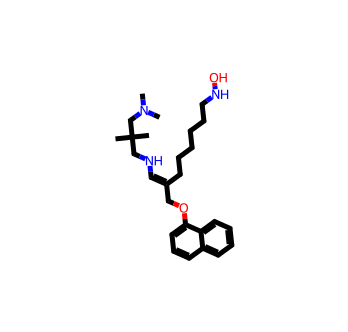 CN(C)CC(C)(C)CN/C=C(\CCCCCCNO)COc1cccc2ccccc12